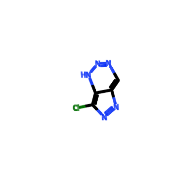 Clc1nnc2cnn[nH]c1-2